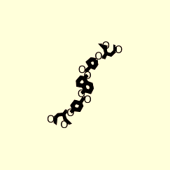 O=C(Oc1cccc2c(OC(=O)c3ccc(OCC(CC4CO4)C4CO4)cc3)cccc12)c1ccc(OCC(CC2CO2)C2CO2)cc1